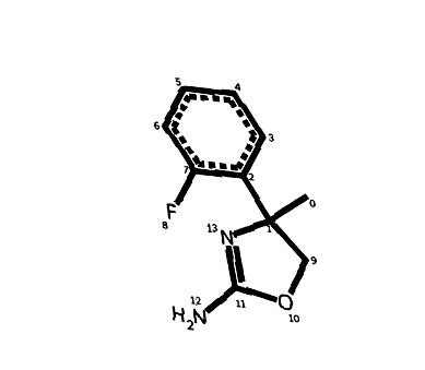 CC1(c2ccccc2F)COC(N)=N1